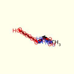 CCCN(CCO)C(=O)C1=Cc2ccc(C3(C(=O)Nc4cnc5c(c4)CN(C(=O)CCOCCOCCOCCOCCOCCOCCC(=O)O)CC5)CC3)cc2N=C(N)C1